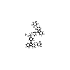 CN(c1ccc(-n2c3ccccc3c3ccc(-c4ccccc4)cc32)cc1)c1ccc(-n2c3ccccc3c3ccc(-c4ccccc4)cc32)cc1